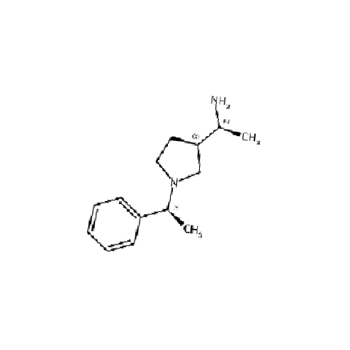 C[C@H](N)[C@@H]1CCN([C@@H](C)c2ccccc2)C1